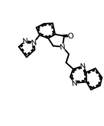 O=C1c2cccc(-n3cccn3)c2CN1CCc1cnc2ccccc2n1